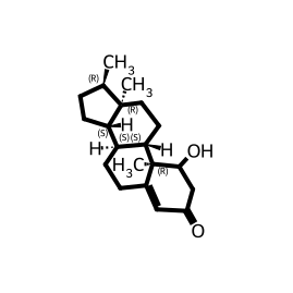 C[C@@H]1CC[C@H]2[C@@H]3CCC4=CC(=O)CC(O)[C@]4(C)[C@H]3CC[C@]12C